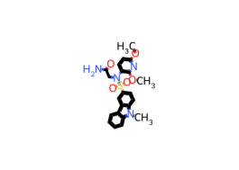 COc1ccc(N(CC(N)=O)S(=O)(=O)c2ccc3c(c2)c2ccccc2n3C)c(OC)n1